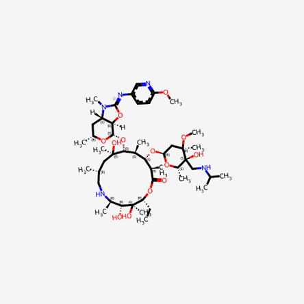 CC[C@H]1OC(=O)[C@H](C)[C@@H](O[C@H]2C[C@@](C)(OC)[C@](O)(CNC(C)C)[C@H](C)O2)[C@H](C)[C@@H](O[C@@H]2O[C@H](C)C[C@H]3[C@H]2O/C(=N\c2ccc(OC)nc2)N3C)[C@](C)(O)C[C@@H](C)CN[C@H](C)[C@@H](O)[C@]1(C)O